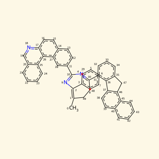 C\C1=C(c2ccccc2)/N=C(c2ccc3ccc4ncc5ccccc5c4c3c2)\N=C(\c2cccc3c2-c2ccc4ccccc4c2C3)CC1